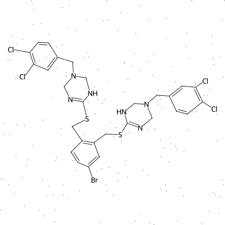 Clc1ccc(CN2CN=C(SCc3ccc(Br)cc3CSC3=NCN(Cc4ccc(Cl)c(Cl)c4)CN3)NC2)cc1Cl